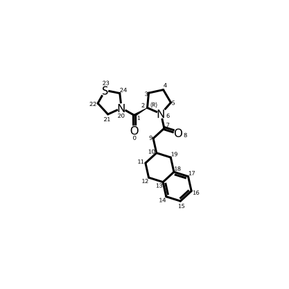 O=C([C@H]1CCCN1C(=O)CC1CCc2ccccc2C1)N1CCSC1